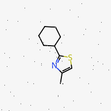 [CH2]c1csc(C2CCCCC2)n1